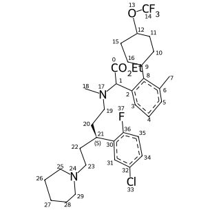 CCOC(=O)C(c1cccc(C)c1C1CCC(OC(F)(F)F)CC1)N(C)CC[C@H](CCN1CCCCC1)c1cc(Cl)ccc1F